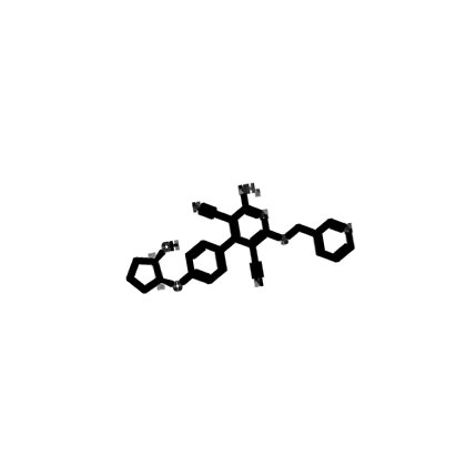 N#Cc1c(N)nc(SCc2cccnc2)c(C#N)c1-c1ccc(O[C@H]2CCC[C@H]2O)cc1